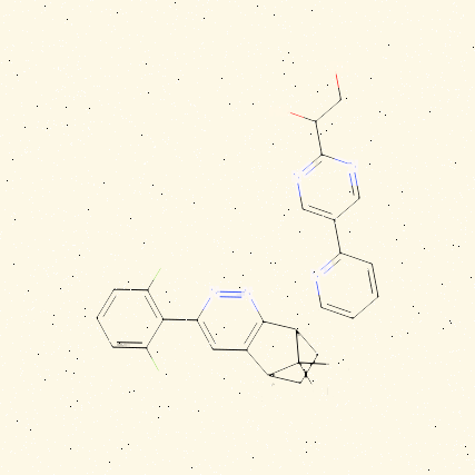 CC1(C)[C@H]2CC[C@]1(c1cccc(-c3cnc(C(O)CO)nc3)n1)c1nnc(-c3c(F)cccc3F)cc12